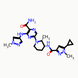 C[C@@H]1[C@H](NC(=O)c2cc(C3CC3)n(C)n2)CCCN1c1cnc(C(N)=O)c(Nc2cnn(C)c2)n1